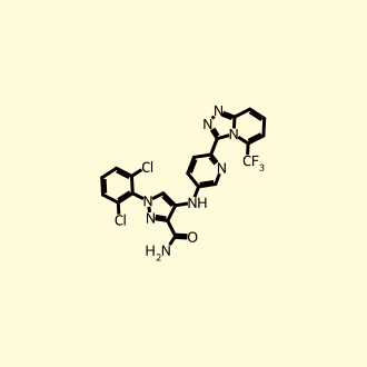 NC(=O)c1nn(-c2c(Cl)cccc2Cl)cc1Nc1ccc(-c2nnc3cccc(C(F)(F)F)n23)nc1